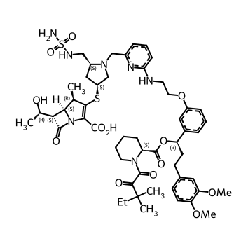 CCC(C)(C)C(=O)C(=O)N1CCCC[C@H]1C(=O)O[C@H](CCc1ccc(OC)c(OC)c1)c1cccc(OCCNc2cccc(CN3C[C@@H](SC4=C(C(=O)O)N5C(=O)[C@H]([C@@H](C)O)[C@H]5[C@H]4C)C[C@H]3CNS(N)(=O)=O)n2)c1